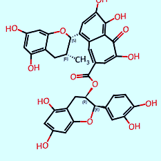 C[C@@H]1Cc2c(O)cc(O)cc2O[C@@H]1c1cc(O)c(O)c2c(=O)c(O)cc(C(=O)O[C@@H]3Cc4c(O)cc(O)cc4O[C@@H]3c3ccc(O)c(O)c3)cc12